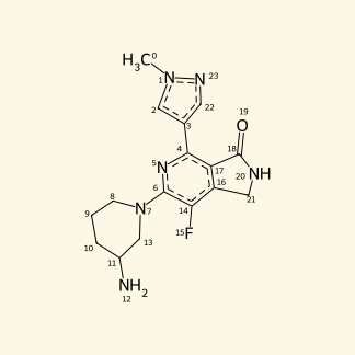 Cn1cc(-c2nc(N3CCCC(N)C3)c(F)c3c2C(=O)NC3)cn1